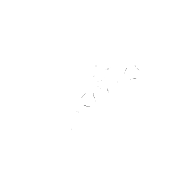 CCN(CC)c1ccc(NC(=O)[C@]2(N(C[C@@H]3CCCO3)C(=O)O)CCc3ccccc3C2)cc1